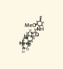 COc1cc(F)ccc1NCC(=O)[C@H]1CCC2[C@@H]3CC[C@@H]4C[C@@H](C)CC[C@]4(F)C3CC[C@@]21C